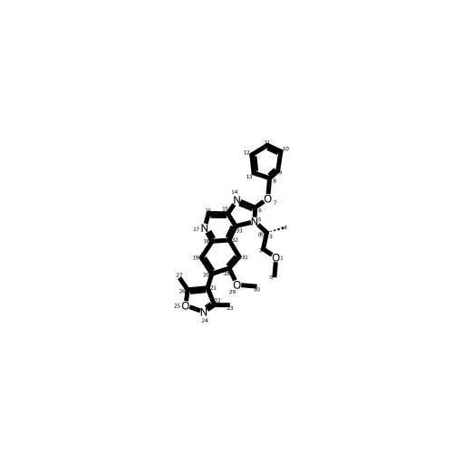 COC[C@@H](C)n1c(Oc2ccccc2)nc2cnc3cc(-c4c(C)noc4C)c(OC)cc3c21